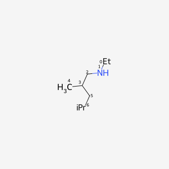 CCNCC(C)CC(C)C